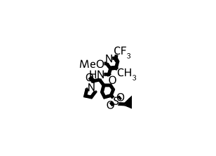 COc1nc(C(F)(F)F)cc(C)c1C(=O)NC(C(=O)N1CCCC1)C1CCC(S(=O)(=O)CC2CC2)CC1